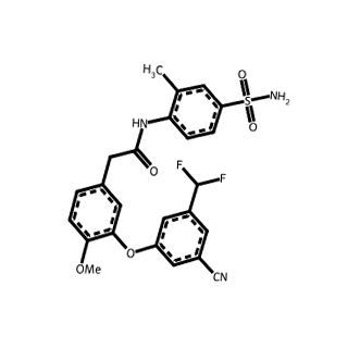 COc1ccc(CC(=O)Nc2ccc(S(N)(=O)=O)cc2C)cc1Oc1cc(C#N)cc(C(F)F)c1